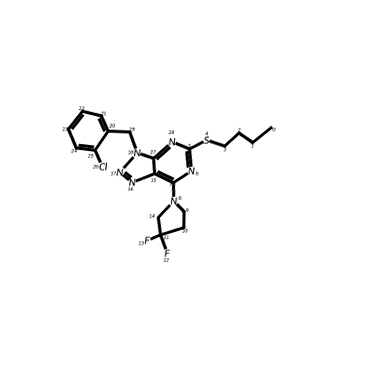 CCCCSc1nc(N2CCC(F)(F)C2)c2nnn(Cc3ccccc3Cl)c2n1